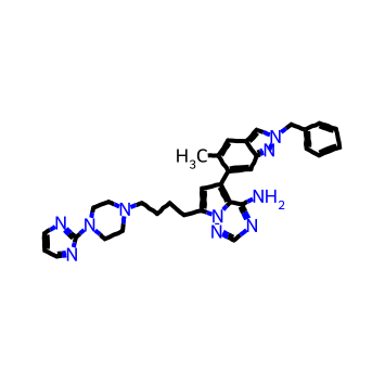 Cc1cc2cn(Cc3ccccc3)nc2cc1-c1cc(CCCCN2CCN(c3ncccn3)CC2)n2ncnc(N)c12